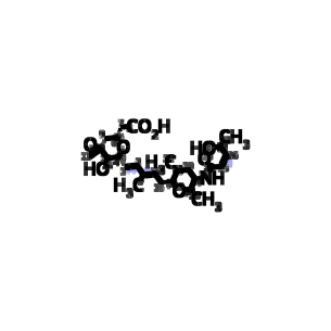 CC(/C=C/[C@H]1O[C@@H](CC(=O)O)C[C@@]2(CO2)C1O)=C\C[C@@H]1O[C@H](C)[C@H](NC(=O)/C=C\[C@H](C)O)C[C@@H]1C